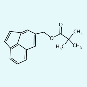 CC(C)(C)C(=O)OCc1cc2c3c(cccc3c1)C=C2